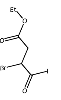 CCOC(=O)CC(Br)C(=O)I